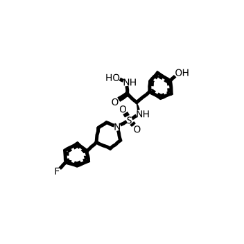 O=C(NO)[C@H](NS(=O)(=O)N1CCC(c2ccc(F)cc2)CC1)c1ccc(O)cc1